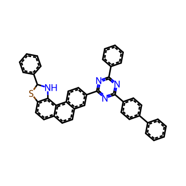 c1ccc(-c2ccc(-c3nc(-c4ccccc4)nc(-c4ccc5c(ccc6ccc7c(c65)NC(c5ccccc5)S7)c4)n3)cc2)cc1